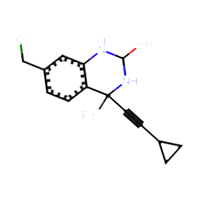 OC1Nc2cc(CCl)ccc2C(C#CC2CC2)(C(F)(F)F)N1